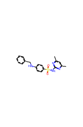 Cc1cc(C)nc(NS(=O)(=O)c2ccc(NCc3ccccc3)cc2)n1